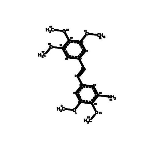 COc1cc(C=Cc2cc(OC)c(OC)c(OC)c2)cc(N)c1OC